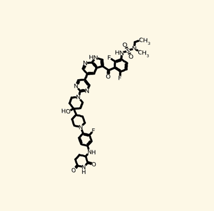 CCN(C)S(=O)(=O)Nc1ccc(F)c(C(=O)c2c[nH]c3ncc(-c4cnc(N5CCC(O)(C6CCN(c7ccc(NC8CCC(=O)NC8=O)cc7F)CC6)CC5)nc4)cc23)c1F